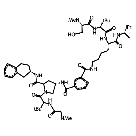 CNCC(=O)N[C@H](C(=O)N1C[C@@H](NC(=O)c2cccc(C(=O)NCCCC[C@H](NC(=O)[C@@H](NC(=O)[C@H](CO)NC)C(C)(C)C)C(=O)N[C@@H](C)C(C)C)c2)CC1C(=O)N[C@@H]1CCc2ccccc2C1)C(C)(C)C